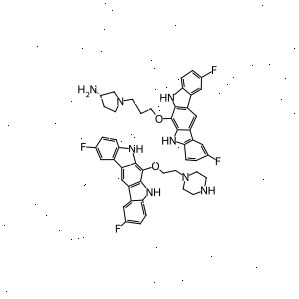 Fc1ccc2[nH]c3c(OCCN4CCNCC4)c4[nH]c5ccc(F)cc5c4cc3c2c1.N[C@H]1CCN(CCCOc2c3[nH]c4ccc(F)cc4c3cc3c2[nH]c2ccc(F)cc23)C1